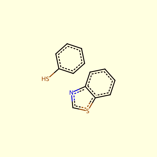 Sc1ccccc1.c1ccc2scnc2c1